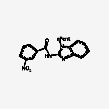 CCCCCn1c(NC(=O)c2cccc([N+](=O)[O-])c2)nc2ccccc21